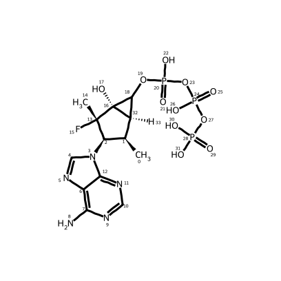 C[C@H]1[C@@H](n2cnc3c(N)ncnc32)[C@](C)(F)[C@@]2(O)C(OP(=O)(O)OP(=O)(O)OP(=O)(O)O)[C@@H]12